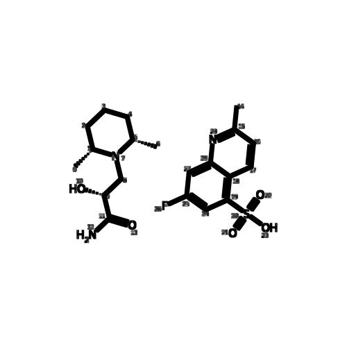 C[C@@H]1CCC[C@H](C)N1C[C@@H](O)C(N)=O.Cc1ccc2c(S(=O)(=O)O)cc(F)cc2n1